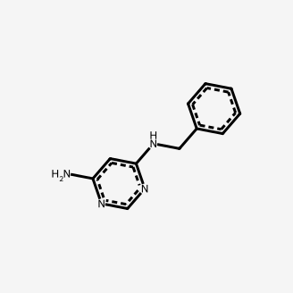 Nc1cc(NCc2ccccc2)ncn1